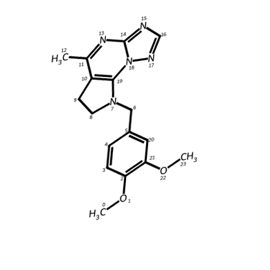 COc1ccc(CN2CCc3c(C)nc4ncnn4c32)cc1OC